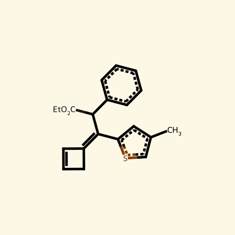 CCOC(=O)C(C(=C1C=CC1)c1cc(C)cs1)c1ccccc1